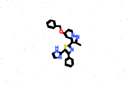 Cc1nn2ccc(OCc3ccccc3)cc2c1-c1nc(-c2ccccc2)c(-c2ncc[nH]2)s1